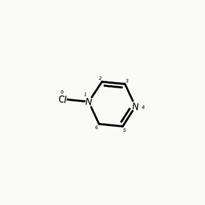 ClN1C=CN=CC1